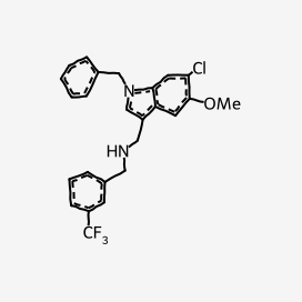 COc1cc2c(CNCc3cccc(C(F)(F)F)c3)cn(Cc3ccccc3)c2cc1Cl